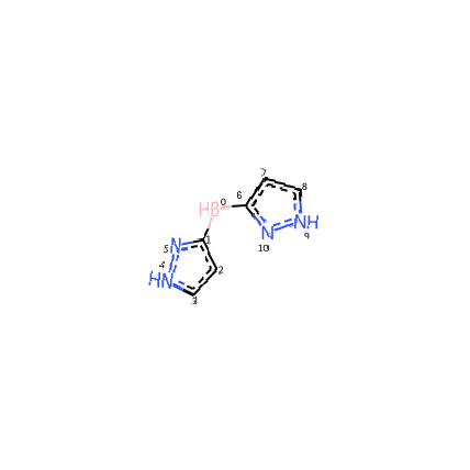 B(c1cc[nH]n1)c1cc[nH]n1